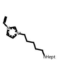 C=Cn1cc[n+](CCCCCCCCCCCC)c1